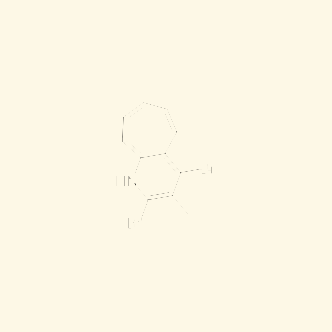 CC1=C(Br)NC2=CC=CC=CC2=C1Br